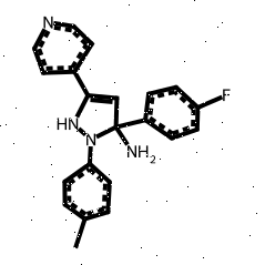 Cc1ccc(N2NC(c3ccncc3)=CC2(N)c2ccc(F)cc2)cc1